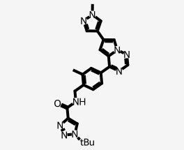 Cc1cc(-c2ncnn3cc(-c4cnn(C)c4)cc23)ccc1CNC(=O)c1cn(C(C)(C)C)nn1